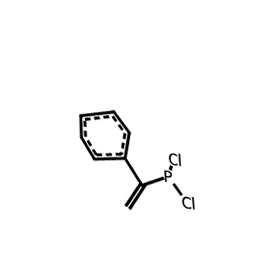 C=C(c1ccccc1)P(Cl)Cl